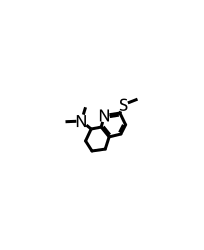 CSc1ccc2c(n1)C(N(C)C)CCC2